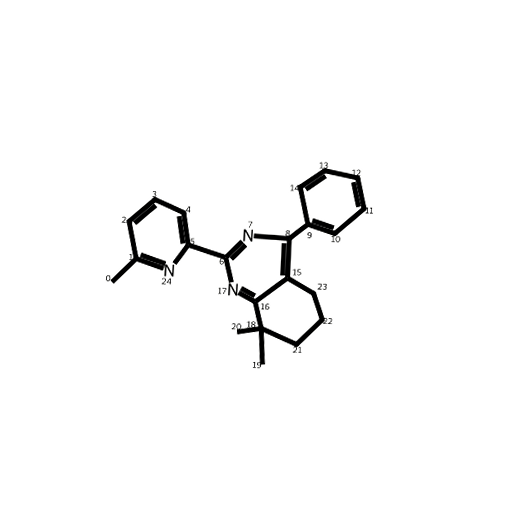 Cc1cccc(-c2nc(-c3ccccc3)c3c(n2)C(C)(C)CCC3)n1